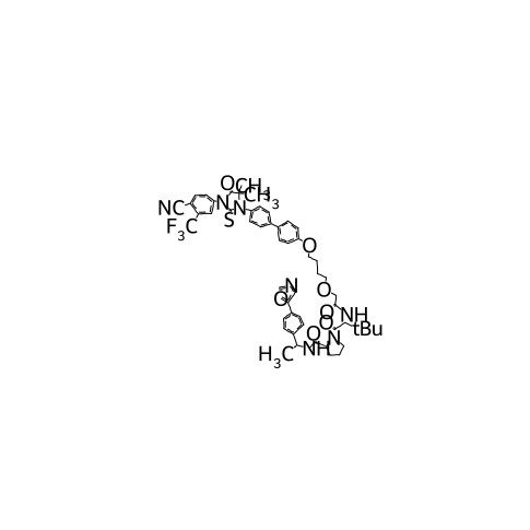 C[C@H](NC(=O)[C@@H]1CCCN1C(=O)C(NC(=O)COCCCCOc1ccc(-c2ccc(N3C(=S)N(c4ccc(C#N)c(C(F)(F)F)c4)C(=O)C3(C)C)cc2)cc1)C(C)(C)C)c1ccc(-c2cnco2)cc1